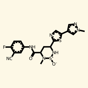 CN1C(C(=O)Nc2ccc(F)c(C#N)c2)CC(c2ncc(-c3cnn(C)c3)s2)N[S+]1[O-]